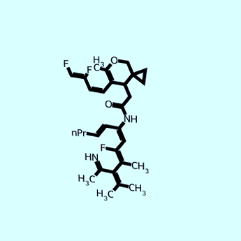 CCC/C=C/C(=C\C(F)=C(/C)C(C(C)=N)=C(C)C)NC(=O)CC1C(/C=C\C(F)=C\F)=C(C)OCC12CC2